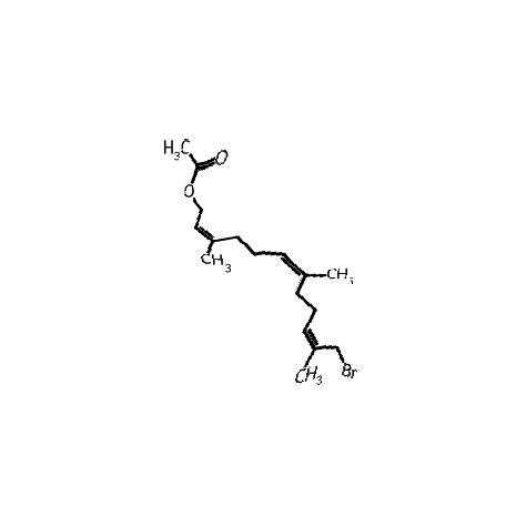 CC(=O)OCC=C(C)CCC=C(C)CCC=C(C)CBr